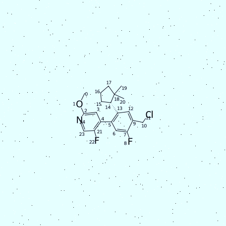 COc1cc(-c2cc(F)c(CCl)cc2[C@@H]2CCCC2(C)C)c(F)cn1